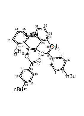 CCCCc1ccc(C(=O)OC(=C(OC(=O)c2ccc(CCCC)cc2)c2c(C)cccc2C)c2c(C)cccc2C)cc1